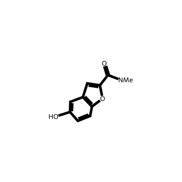 CNC(=O)c1cc2cc(O)ccc2o1